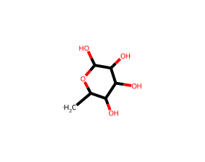 [CH2]C1OC(O)C(O)C(O)C1O